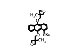 CCCCc1cccc2c(OCC3(C)COC3)c3ccccc3c(OCC3(C)COC3)c12